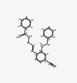 N#Cc1ccc(C=CCOC(=O)c2ccccc2)c(OCc2ccccc2)c1